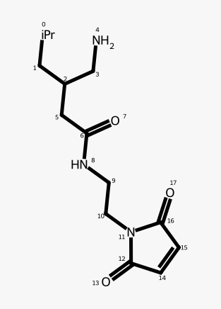 CC(C)CC(CN)CC(=O)NCCN1C(=O)C=CC1=O